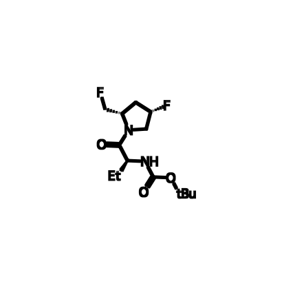 CC[C@H](NC(=O)OC(C)(C)C)C(=O)N1C[C@@H](F)C[C@H]1CF